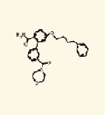 NC(=O)c1ccc(OCCCCc2ccccc2)cc1-c1cccc(C(=O)N2CCOCC2)c1